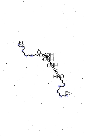 CC/C=C\C/C=C\C/C=C\C/C=C\C/C=C\CCCC(=O)NCCSSCCNC(=O)CCNC(=O)[C@H](O)C(C)(C)COC(=O)CCC/C=C/C/C=C\C/C=C\C/C=C\C/C=C\CC